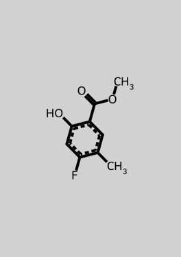 COC(=O)c1cc(C)c(F)cc1O